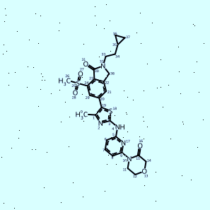 Cc1nc(Nc2cccc(N3CCOCC3=O)n2)sc1-c1cc2c(c(S(C)(=O)=O)c1)C(=O)N(CCC1CC1)C2